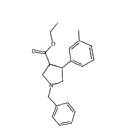 CCOC(=O)C1CN(Cc2ccccc2)CC1c1cccc(C)c1